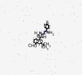 CN(C)C(=O)CC1=C(C=O)CCCN1CC(=O)N/C(N)=C/C=C(\N)c1ccc(F)nc1